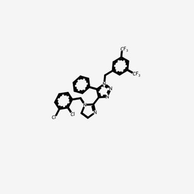 FC(F)(F)c1cc(Cn2nnc(C3=NCCN3Cc3cccc(Cl)c3Cl)c2-c2ccccc2)cc(C(F)(F)F)c1